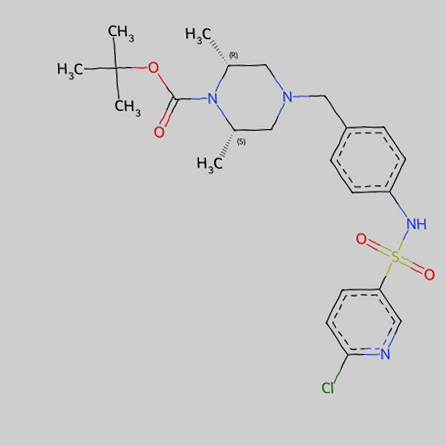 C[C@@H]1CN(Cc2ccc(NS(=O)(=O)c3ccc(Cl)nc3)cc2)C[C@H](C)N1C(=O)OC(C)(C)C